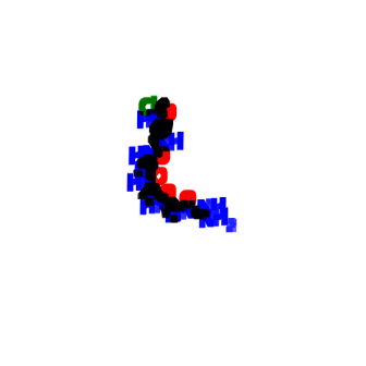 C=C(Cl)C(=O)Nc1ccc2[nH]c(C(=O)Nc3cc(C(=O)Nc4cc(C(=O)Nc5cc(C(=O)NCCC(=N)N)n(C)c5)n(C)c4)n(C)c3)cc2c1